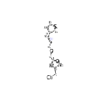 ClCc1noc(COC/C=C/c2ccsc2)n1